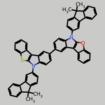 CC1(C)c2ccccc2-c2cc(-n3c4ccc(-c5ccc6c(c5)c5c7ccccc7sc5n6-c5ccc6c(c5)-c5ccccc5C6(C)C)cc4c4c5ccccc5oc43)ccc21